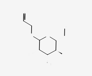 C=CCOC1O[C@H](CO)[C@@H](O)[C@H](O)[C@@H]1O